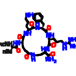 CCCC[C@H](NC(C)=O)C(=O)N[C@H]1CCC(=O)NCCC(C(N)=O)NC(=O)[C@H](CCCNC(=N)N)NC(=O)[C@@H](Cc2ccccc2)NC(=O)[C@H](CCCN)NC1=O